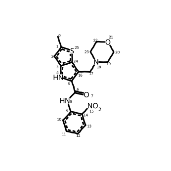 Cc1cc2[nH]c(C(=O)Nc3ccccc3[N+](=O)[O-])c(CN3CCOCC3)c2s1